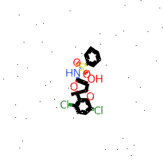 CC1(c2cc(Cl)ccc2Cl)OC(NS(=O)(=O)c2ccccc2)=C(O)C1=O